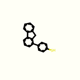 Sc1ccc(-c2cccc3c2Cc2ccccc2-3)cc1